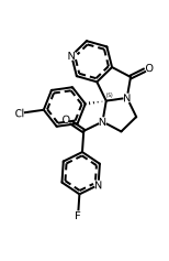 O=C(c1ccc(F)nc1)N1CCN2C(=O)c3ccncc3[C@]12c1ccc(Cl)cc1